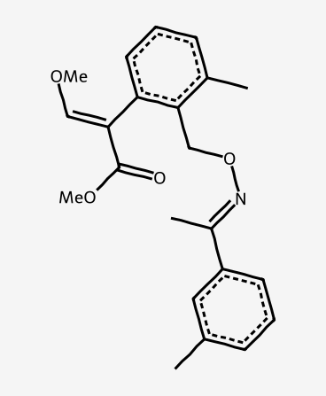 CO/C=C(/C(=O)OC)c1cccc(C)c1CO/N=C(\C)c1cccc(C)c1